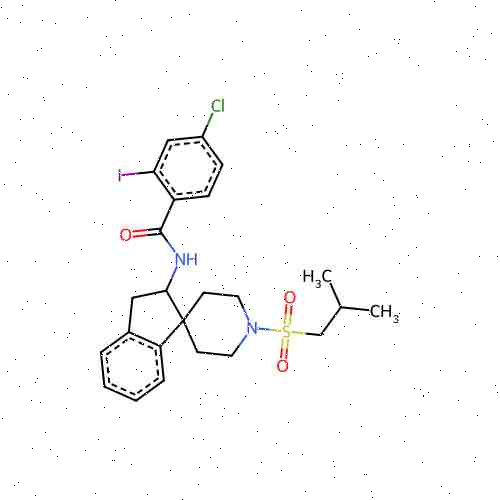 CC(C)CS(=O)(=O)N1CCC2(CC1)c1ccccc1CC2NC(=O)c1ccc(Cl)cc1I